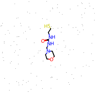 O=C(NCCS)NCN1CCOCC1